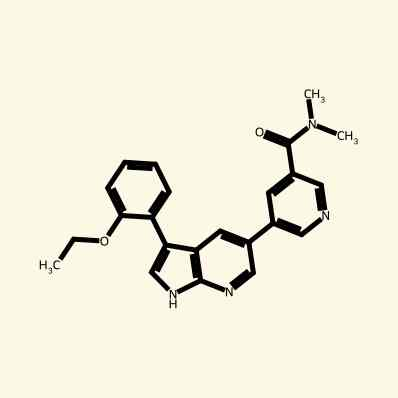 CCOc1ccccc1-c1c[nH]c2ncc(-c3cncc(C(=O)N(C)C)c3)cc12